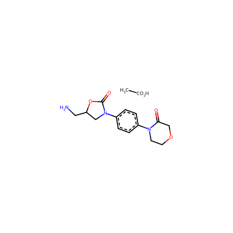 CC(=O)O.NCC1CN(c2ccc(N3CCOCC3=O)cc2)C(=O)O1